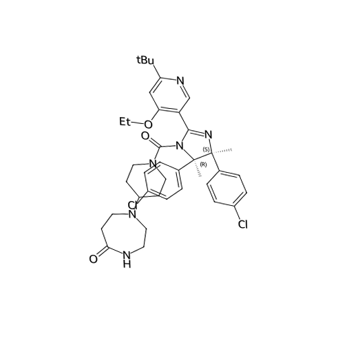 CCOc1cc(C(C)(C)C)ncc1C1=N[C@@](C)(c2ccc(Cl)cc2)[C@@](C)(c2ccc(Cl)cc2)N1C(=O)N1CCC(N2CCNC(=O)CC2)CC1